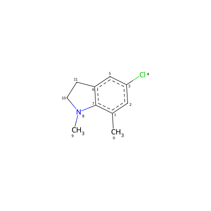 Cc1cc(Cl)cc2c1N(C)CC2